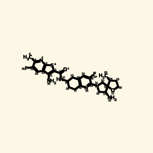 Cc1nc2sc(C(=O)NC3CCc4nc(N5CC(N)C6(C5)OCCC6C)c(F)cc4C3)c(N)c2cc1F